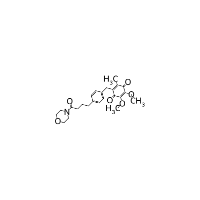 COC1=C(OC)C(=O)C(Cc2ccc(CCCC(=O)N3CCOCC3)cc2)=C(C)C1=O